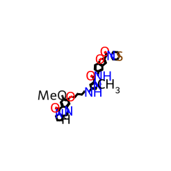 COc1cc2c(cc1OCCCCNc1cc(C(=O)Nc3ccc4oc(C(=O)N5CCSCC5)cc4c3)n(C)c1)N=C[C@@H]1CCCN1C2=O